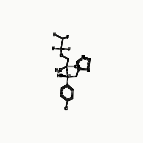 CC(C)(COC(F)(F)C(F)F)[C@](O)(Cn1cncn1)c1ccc(Cl)cc1